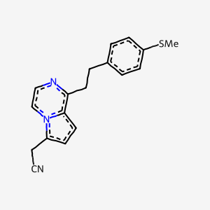 CSc1ccc(CCc2nccn3c(CC#N)ccc23)cc1